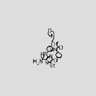 C=CC(=O)NC1CCC=C(Oc2nc(NC3C=CC(OCCN4CCOCC4)=CC3)c(C(N)=O)nc2CC)C1